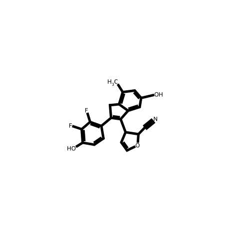 Cc1cc(O)cc2c1CC(c1ccc(O)c(F)c1F)=C2C1C=COC1C#N